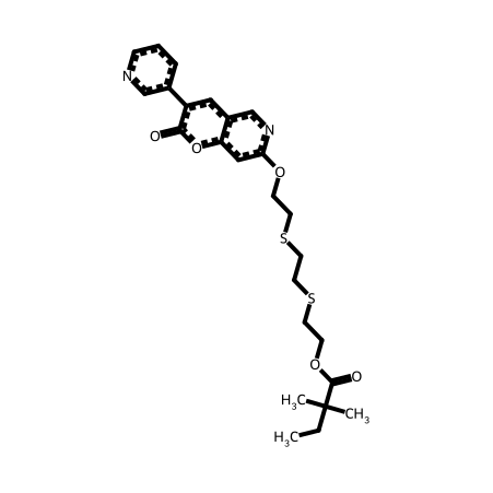 CCC(C)(C)C(=O)OCCSCCSCCOc1cc2oc(=O)c(-c3cccnc3)cc2cn1